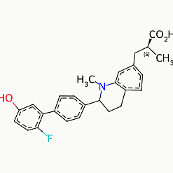 C[C@@H](Cc1ccc2c(c1)N(C)C(c1ccc(-c3cc(O)ccc3F)cc1)CC2)C(=O)O